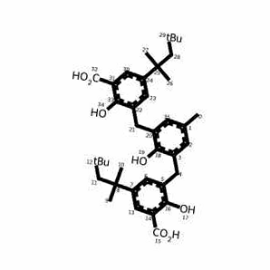 Cc1cc(Cc2cc(C(C)(C)CC(C)(C)C)cc(C(=O)O)c2O)c(O)c(Cc2cc(C(C)(C)CC(C)(C)C)cc(C(=O)O)c2O)c1